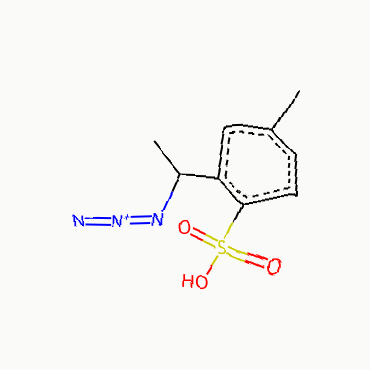 Cc1ccc(S(=O)(=O)O)c(C(C)N=[N+]=[N-])c1